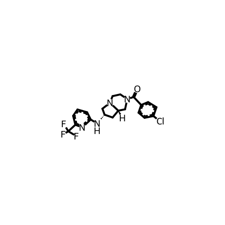 O=C(c1ccc(Cl)cc1)N1CCN2C[C@@H](Nc3cccc(C(F)(F)F)n3)C[C@H]2C1